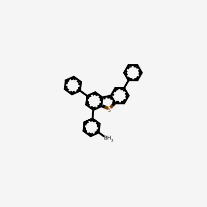 Bc1cccc(-c2cc(-c3ccccc3)cc3c2sc2ccc(-c4ccccc4)cc23)c1